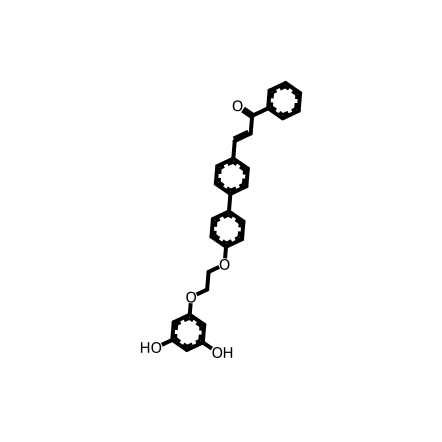 O=C(C=Cc1ccc(-c2ccc(OCCOc3cc(O)cc(O)c3)cc2)cc1)c1ccccc1